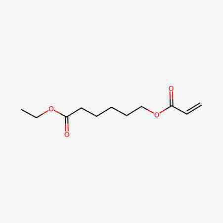 C=CC(=O)OCCCCCC(=O)OCC